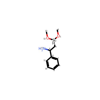 CO[SiH](CC(N)c1ccccc1)OC